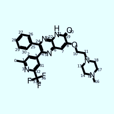 Cc1cc(-c2nc3cc(OCCN4CCN(C)CC4)c(=O)[nH]c3nc2-c2ccccc2)cc(C(F)(F)F)n1